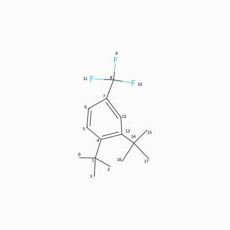 CC(C)(C)c1ccc(C(F)(F)F)cc1C(C)(C)C